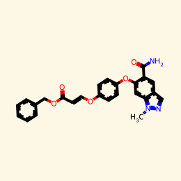 Cn1ncc2cc(C(N)=O)c(Oc3ccc(O/C=C/C(=O)OCc4ccccc4)cc3)cc21